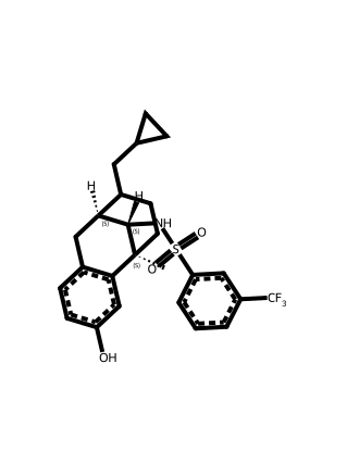 C[C@]12CCC(CC3CC3)[C@H](Cc3ccc(O)cc31)[C@@H]2NS(=O)(=O)c1cccc(C(F)(F)F)c1